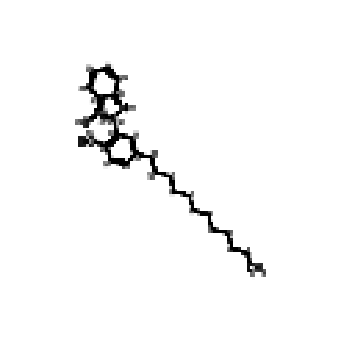 CCCCCCCCCCCCc1ccc(O)c(-n2nc3ccccc3[n+]2[O-])c1